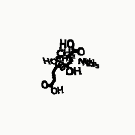 C=C.N.N.O=C(O)CCC(=O)O.O=C(O)CCC(=O)O.[Zn]